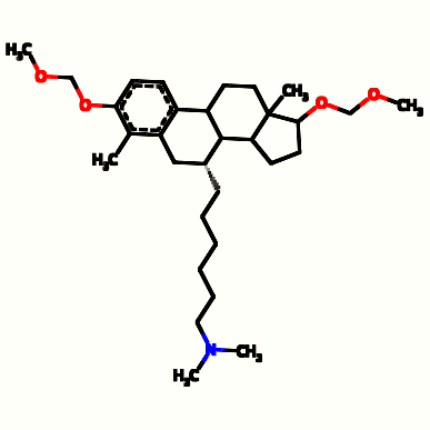 COCOc1ccc2c(c1C)C[C@@H](CCCCCCN(C)C)C1C2CCC2(C)C(OCOC)CCC12